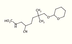 CC(C)(CCC(C#N)CNC(=O)O)COC1CCCCO1